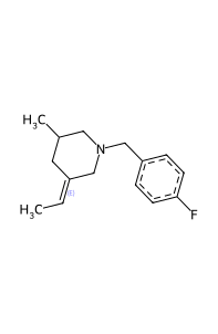 C/C=C1\CC(C)CN(Cc2ccc(F)cc2)C1